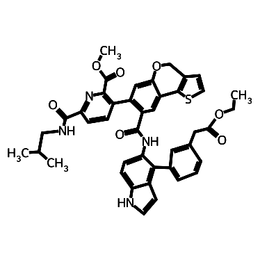 CCOC(=O)Cc1cccc(-c2c(NC(=O)c3cc4c(cc3-c3ccc(C(=O)NCC(C)C)nc3C(=O)OC)OCc3ccsc3-4)ccc3[nH]ccc23)c1